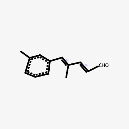 CC(/C=C/C=O)=C\c1cccc(C)c1